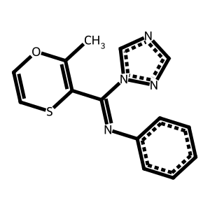 CC1=C(C(=Nc2ccccc2)n2cncn2)SC=CO1